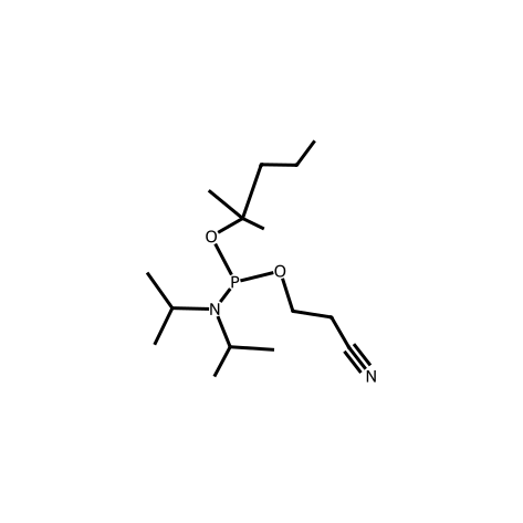 CCCC(C)(C)OP(OCCC#N)N(C(C)C)C(C)C